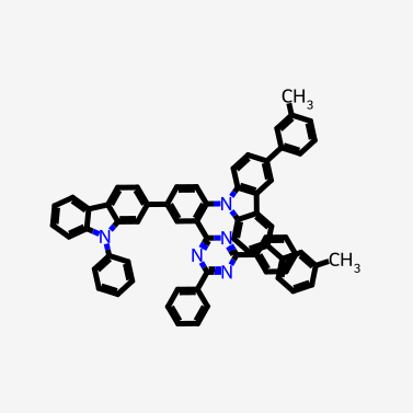 Cc1cccc(-c2ccc3c(c2)c2cc(-c4cccc(C)c4)ccc2n3-c2ccc(-c3ccc4c5ccccc5n(-c5ccccc5)c4c3)cc2-c2nc(-c3ccccc3)nc(-c3ccccc3)n2)c1